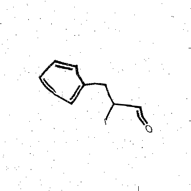 O=CC(I)Cc1ccccc1